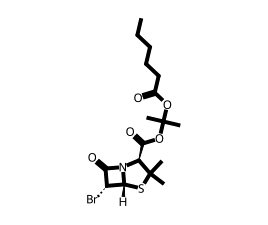 CCCCCC(=O)OC(C)(C)OC(=O)[C@@H]1N2C(=O)[C@@H](Br)[C@H]2SC1(C)C